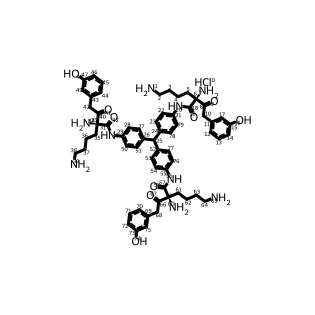 Cl.NCCCC[C@](N)(C(=O)Cc1cccc(O)c1)C(=O)Nc1ccc(C(c2ccc(NC(=O)[C@](N)(CCCCN)C(=O)Cc3cccc(O)c3)cc2)c2ccc(NC(=O)[C@](N)(CCCCN)C(=O)Cc3cccc(O)c3)cc2)cc1